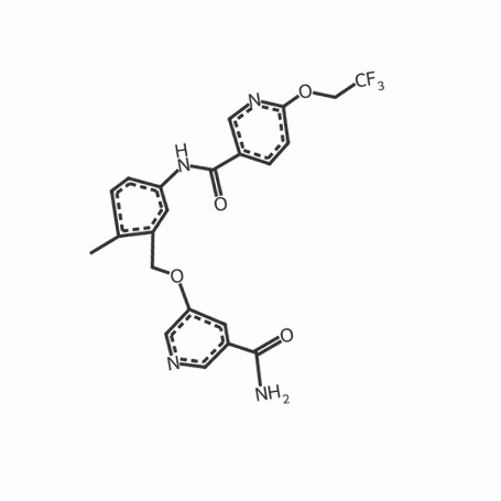 Cc1ccc(NC(=O)c2ccc(OCC(F)(F)F)nc2)cc1COc1cncc(C(N)=O)c1